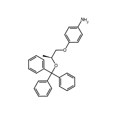 C[C@@H](COc1ccc(N)cc1)OC(c1ccccc1)(c1ccccc1)c1ccccc1